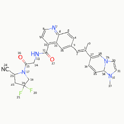 C/C(=C\c1ccc2nccc(C(=O)NCC(=O)N3CC(F)(F)CC3C#N)c2c1)C1=CN2C=CN(C)C2C=C1